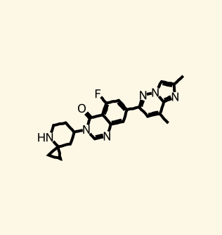 Cc1cn2nc(-c3cc(F)c4c(=O)n(C5CCNC6(CC6)C5)cnc4c3)cc(C)c2n1